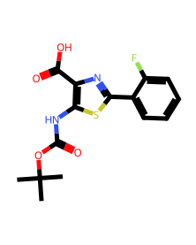 CC(C)(C)OC(=O)Nc1sc(-c2ccccc2F)nc1C(=O)O